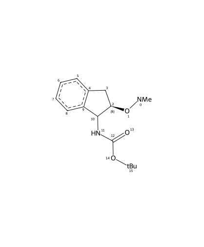 CNO[C@@H]1Cc2ccccc2C1NC(=O)OC(C)(C)C